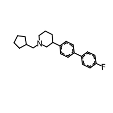 Fc1ccc(-c2ccc(C3CCCN(CC4CCCC4)C3)cc2)cc1